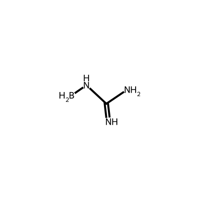 BNC(=N)N